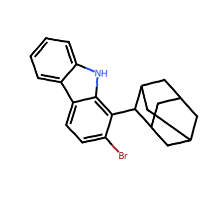 Brc1ccc2c([nH]c3ccccc32)c1C1C2CC3CC(C2)CC1C3